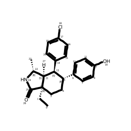 CC[C@@]12CC[C@@H](c3ccc(O)cc3)[C@H](c3ccc(Cl)cc3)[C@@H]1[C@@H](C)NC2=O